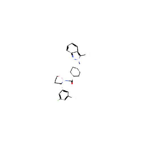 Cc1c2ccccc2nn1C[C@H]1CC[C@H](C(=O)N2OCC[C@H]2c2cc(F)cc(C#N)c2)CC1